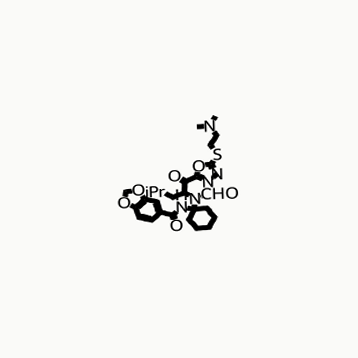 CC(C)CC(C(=O)c1nnc(SCCN(C)C)o1)N(C=O)C1(NC(=O)c2ccc3c(c2)OCO3)CCCCC1